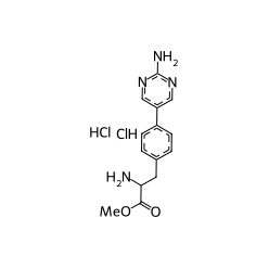 COC(=O)C(N)Cc1ccc(-c2cnc(N)nc2)cc1.Cl.Cl